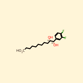 O=C(O)CCCCCCCC[C@H](O)[C@@H](O)c1ccc(F)c(F)c1